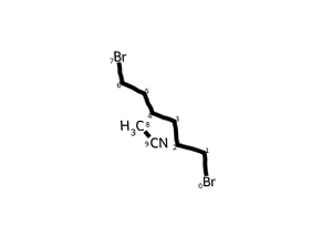 BrCCCCCCBr.CC#N